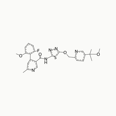 COc1cccc(F)c1-c1cc(C)ncc1C(=O)Nc1nnc(OCc2ccc(C(C)(C)OC)cn2)s1